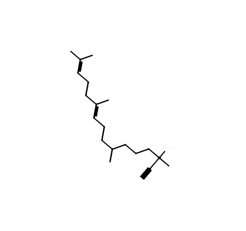 C#CC(C)(O)CCCC(C)CC/C=C(\C)CCC=C(C)C